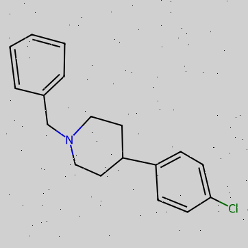 Clc1ccc(C2CCN(Cc3ccccc3)CC2)cc1